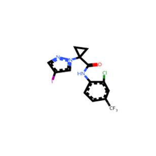 O=C(Nc1ccc(C(F)(F)F)cc1Cl)C1(n2cc(I)cn2)CC1